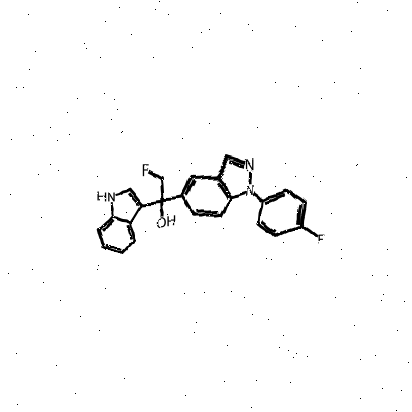 OC(CF)(c1ccc2c(cnn2-c2ccc(F)cc2)c1)c1c[nH]c2ccccc12